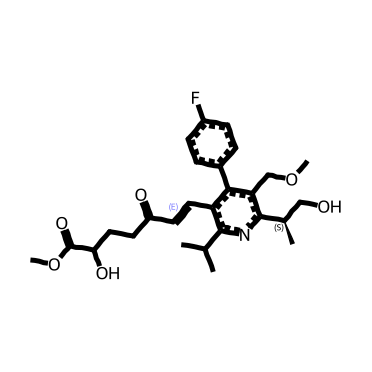 COCc1c([C@H](C)CO)nc(C(C)C)c(/C=C/C(=O)CCC(O)C(=O)OC)c1-c1ccc(F)cc1